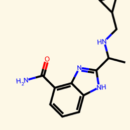 CC(NCC1CC1)c1nc2c(C(N)=O)cccc2[nH]1